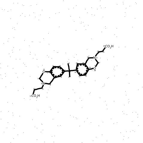 CC(C)(c1ccc2c(c1)CN(CCC(=O)O)CO2)c1ccc2c(c1)CN(CCC(=O)O)CO2